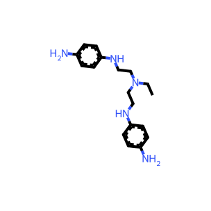 CCN(CCNc1ccc(N)cc1)CCNc1ccc(N)cc1